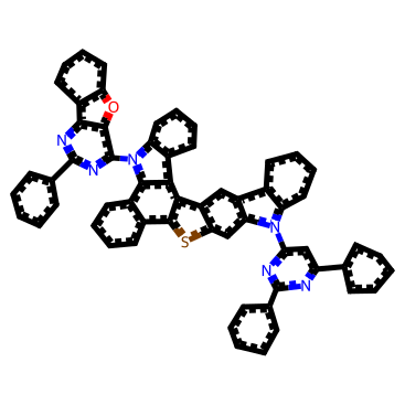 c1ccc(-c2cc(-n3c4ccccc4c4cc5c(cc43)sc3c4ccccc4c4c(c6ccccc6n4-c4nc(-c6ccccc6)nc6c4oc4ccccc46)c53)nc(-c3ccccc3)n2)cc1